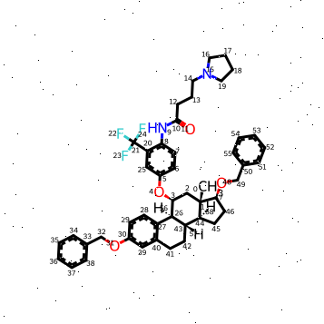 C[C@]12C[C@H](Oc3ccc(NC(=O)CCCN4CCCC4)c(C(F)(F)F)c3)[C@@H]3c4ccc(OCc5ccccc5)cc4CC[C@H]3[C@@H]1CC[C@@H]2OCc1ccccc1